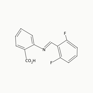 O=C(O)c1ccccc1/N=C/c1c(F)cccc1F